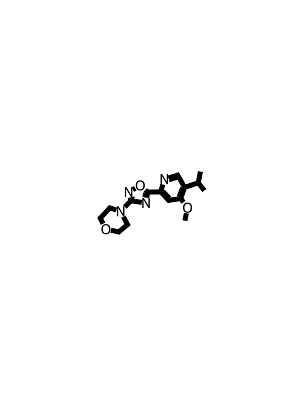 COc1cc(-c2nc(N3CCOCC3)no2)ncc1C(C)C